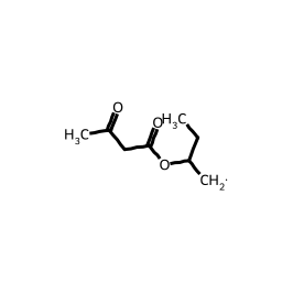 [CH2]C(CC)OC(=O)CC(C)=O